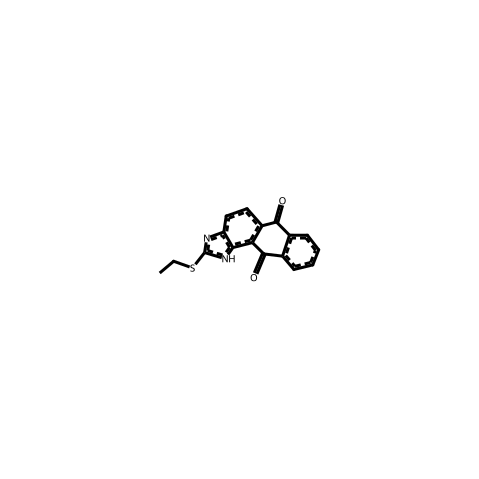 CCSc1nc2ccc3c(c2[nH]1)C(=O)c1ccccc1C3=O